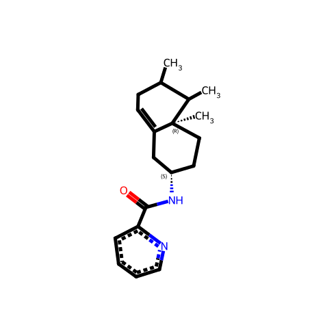 CC1CC=C2C[C@@H](NC(=O)c3ccccn3)CC[C@]2(C)C1C